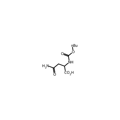 CCCCOC(=O)NC(CC(N)=O)C(=O)O